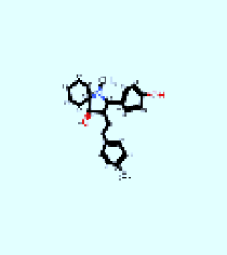 CCc1ccc(CCC2C(=O)C3(CCCCC3)N(C)C2c2ccc(O)cc2)cc1